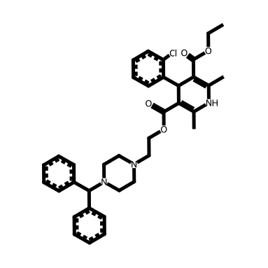 CCOC(=O)C1=C(C)NC(C)=C(C(=O)OCCN2CCN(C(c3ccccc3)c3ccccc3)CC2)C1c1ccccc1Cl